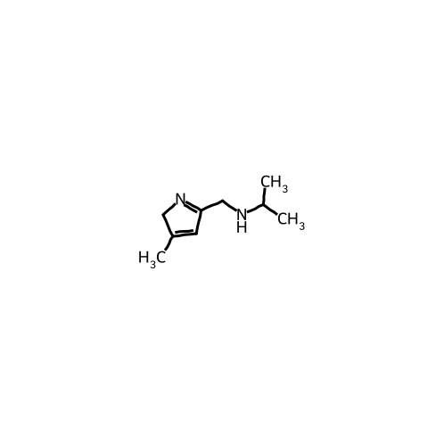 CC1=CC(CNC(C)C)=NC1